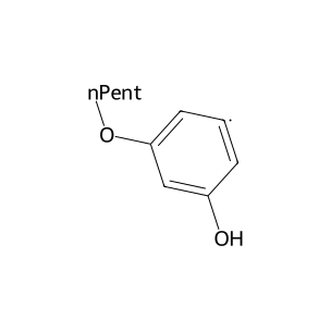 CCCCCOc1c[c]cc(O)c1